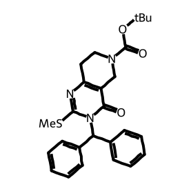 CSc1nc2c(c(=O)n1C(c1ccccc1)c1ccccc1)CN(C(=O)OC(C)(C)C)CC2